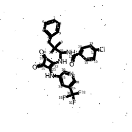 CC(C)(Cc1ccccc1)C(NC(=O)c1ccc(Cl)cc1)Nc1c(Nc2cncc(C(F)(F)F)c2)c(=O)c1=O